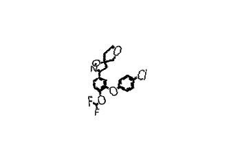 FC(F)Oc1ccc(C2=NOC3(CCOC3)C2)cc1Oc1ccc(Cl)cc1